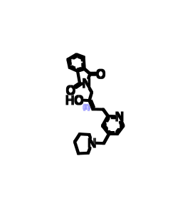 O=C1c2ccccc2C(=O)N1C/C(O)=C\Cc1cc(CN2CCCCC2)ccn1